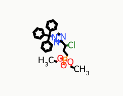 CCOP(=O)(CCC(Cl)c1ncn(C(c2ccccc2)(c2ccccc2)c2ccccc2)n1)OCC